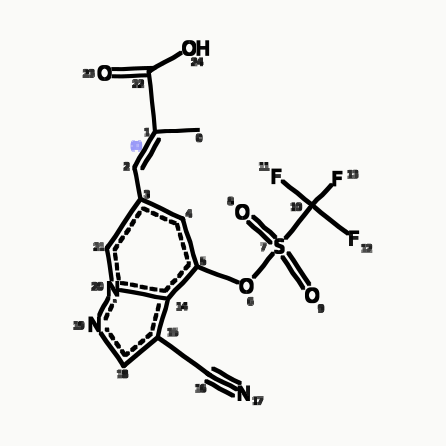 C/C(=C\c1cc(OS(=O)(=O)C(F)(F)F)c2c(C#N)cnn2c1)C(=O)O